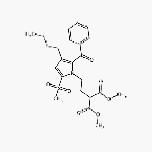 CCCCc1cc(S(C)(=O)=O)n(CCC(C(=O)OC)C(=O)OC)c1C(=O)c1ccccc1